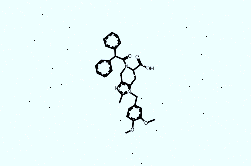 COc1ccc(Cn2c(C)nc3c2CC(C(=O)O)N(C(=O)C(c2ccccc2)c2ccccc2)C3)cc1OC